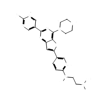 CN(C)CCN(C)c1ccc(-c2cc3nc(-c4cnc(N)nc4)nc(N4CCOCC4)c3s2)cn1